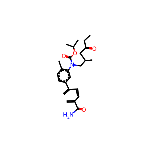 C=C(/C=C\C(=C)c1ccc(C)c(N(C[C@H](C)CC(=O)CC)C(=O)OC(C)C)c1)C(N)=O